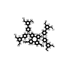 CCc1cc(CC)cc(-c2ccc(N(c3ccc(-c4cc(CC)cc(CC)c4)cc3)c3ccc4c(c3)-c3cc(C#N)ccc3-c3ccc(C#N)cc3-c3cc(N(c5ccc(-c6cc(CC)cc(CC)c6)cc5)c5ccc(-c6cc(CC)cc(CC)c6)cc5)ccc3-4)cc2)c1